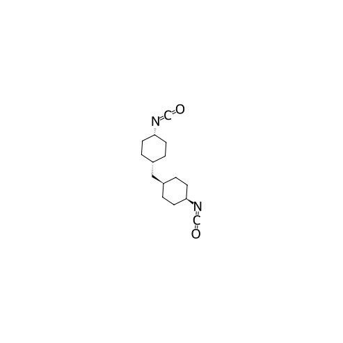 O=C=N[C@H]1CC[C@@H](C[C@H]2CC[C@@H](N=C=O)CC2)CC1